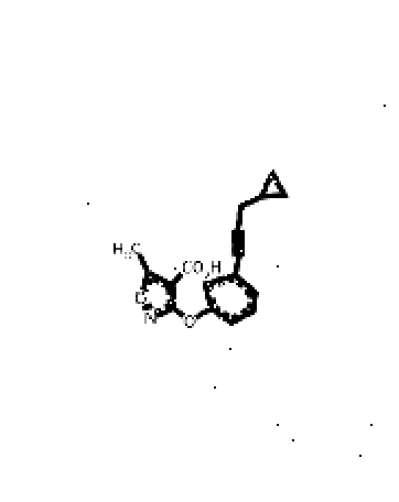 Cc1onc(Oc2cccc(C#CCC3CC3)c2)c1C(=O)O